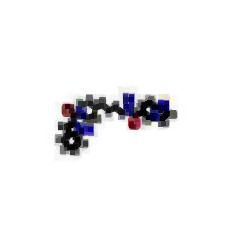 O=C(NCCCCC1CCN(C(=O)c2cc3ccccc3[nH]2)CC1)c1ccc2nccn2c1